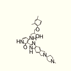 Cc1ccc(OCC(O)CNc2cc[nH]c(=O)c2-c2nc3cc4c(cc3[nH]2)CN(C2CCN(C)CC2)C4)c(C)c1